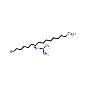 CC(C)CCCCCCCCCCCCCCC(=O)O.CN(C)C